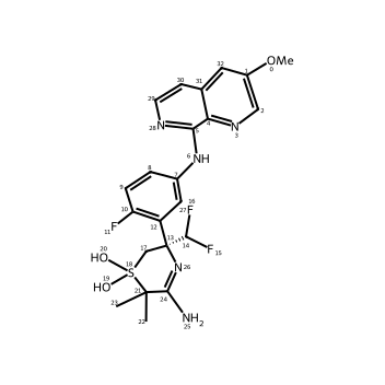 COc1cnc2c(Nc3ccc(F)c([C@]4(C(F)F)CS(O)(O)C(C)(C)C(N)=N4)c3)nccc2c1